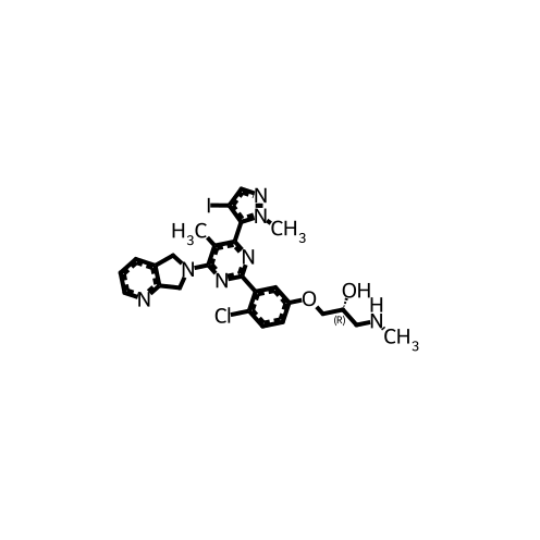 CNC[C@@H](O)COc1ccc(Cl)c(-c2nc(-c3c(I)cnn3C)c(C)c(N3Cc4cccnc4C3)n2)c1